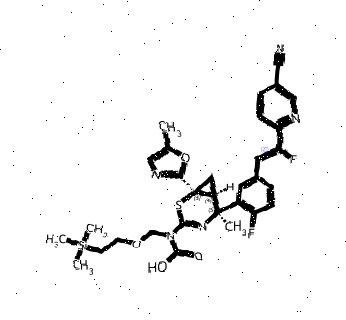 Cc1cnc([C@]23C[C@H]2[C@@](C)(c2cc(/C=C(\F)c4ccc(C#N)cn4)ccc2F)N=C(N(COCC[Si](C)(C)C)C(=O)O)S3)o1